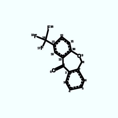 O=C1c2ccccc2COc2ccc(C(F)(F)F)cc21